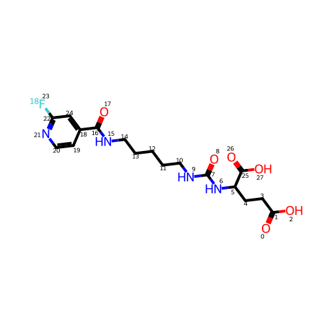 O=C(O)CCC(NC(=O)NCCCCCNC(=O)c1ccnc([18F])c1)C(=O)O